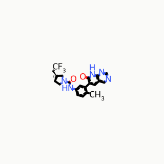 Cc1ccc(NC(=O)N2CC[C@@H](CC(F)(F)F)C2)cc1-c1cc2cncnc2[nH]c1=O